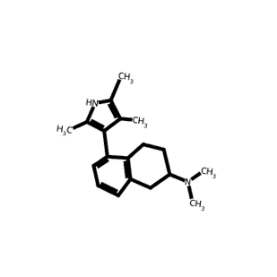 Cc1[nH]c(C)c(-c2cccc3c2CCC(N(C)C)C3)c1C